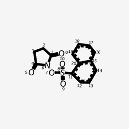 O=C1CCC(=O)N1OS(=O)(=O)c1cccc2ccccc12